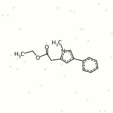 CCOC(=O)Cc1cc(-c2ccccc2)cn1C